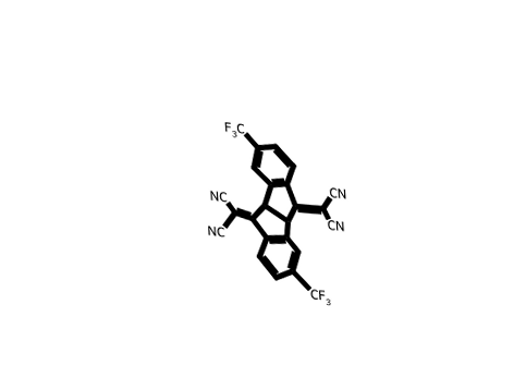 N#CC(C#N)=C1c2ccc(C(F)(F)F)cc2C2C(=C(C#N)C#N)c3ccc(C(F)(F)F)cc3C12